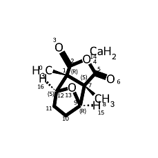 C[C@@]12C(=O)OC(=O)[C@]1(C)[C@H]1CC[C@@H]2O1.[CaH2]